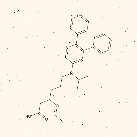 CCOC(CCCN(c1cnc(-c2ccccc2)c(-c2ccccc2)n1)C(C)C)CC(=O)O